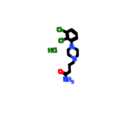 Cl.NC(=O)CCCN1CCN(c2cccc(Cl)c2Cl)CC1